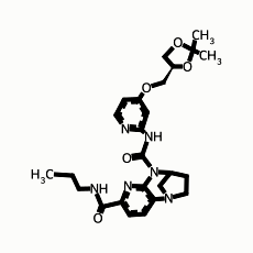 CCCNC(=O)c1ccc2c(n1)N(C(=O)Nc1cc(OC[C@H]3COC(C)(C)O3)ccn1)C1CCN2C1